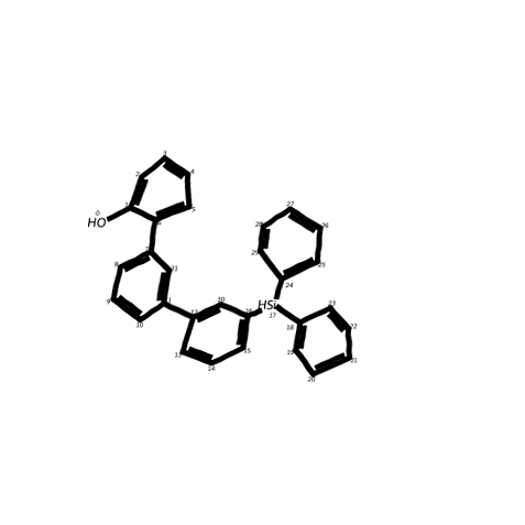 Oc1ccccc1-c1cccc(-c2cccc([SiH](c3ccccc3)c3ccccc3)c2)c1